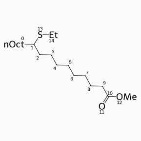 CCCCCCCCC(CCCCCCCCC(=O)OC)SCC